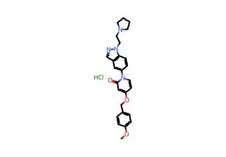 COc1ccc(COc2ccn(-c3ccc4c(cnn4CCN4CCCC4)c3)c(=O)c2)cc1.Cl